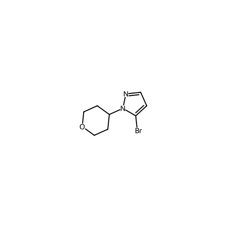 Brc1ccnn1C1CCOCC1